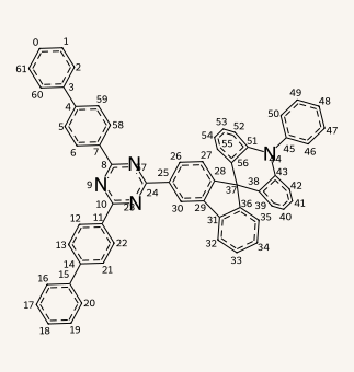 c1ccc(-c2ccc(-c3nc(-c4ccc(-c5ccccc5)cc4)nc(-c4ccc5c(c4)-c4ccccc4C54c5ccccc5N(c5ccccc5)c5ccccc54)n3)cc2)cc1